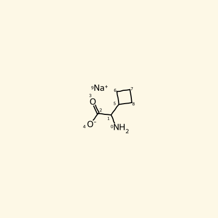 NC(C(=O)[O-])C1CCC1.[Na+]